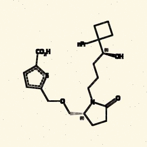 CCCC1([C@@H](O)CCCN2C(=O)CC[C@@H]2COCc2ccc(C(=O)O)s2)CCC1